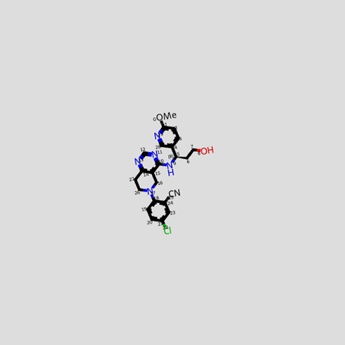 COc1ccc([C@@H](CCO)Nc2ncnc3c2CN(c2ccc(Cl)cc2C#N)CC3)cn1